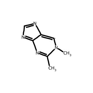 Cc1nc2ncnc-2[c]n1C